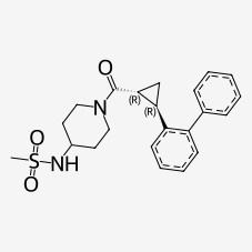 CS(=O)(=O)NC1CCN(C(=O)[C@@H]2C[C@H]2c2ccccc2-c2ccccc2)CC1